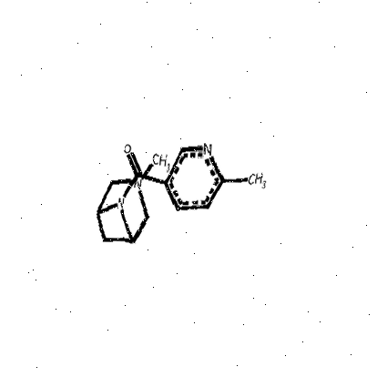 Cc1ccc(C(=O)N2C3CC2CN(C)C3)cn1